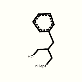 CCCCCCCCC(CO)Cc1ccccc1